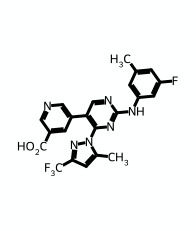 Cc1cc(F)cc(Nc2ncc(-c3cncc(C(=O)O)c3)c(-n3nc(C(F)(F)F)cc3C)n2)c1